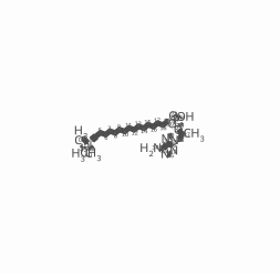 CC[Si](C#CCCCCCCCCCCCCCCCOP(=O)(O)CO[C@H](C)Cn1cnc2c(N)ncnc21)(CC)CC